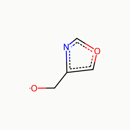 [O]Cc1cocn1